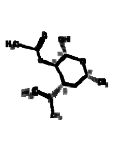 CC(=O)O[C@H]1[C@H](O)O[C@H](C)C[C@@H]1N(C)C